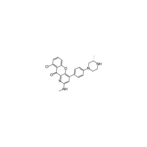 CNc1cc(-c2ccc(N3CCN[C@@H](C)C3)cc2)c2oc3cccc(Cl)c3c(=O)c2n1